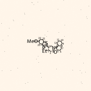 CCC(=Cc1oc2ccc3ccccc3c2[n+]1C)C=C1Sc2ccc(OC)cc2N1C